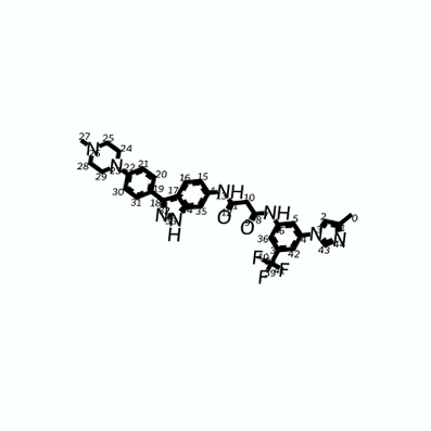 Cc1cn(-c2cc(NC(=O)CC(=O)Nc3ccc4c(-c5ccc(N6CCN(C)CC6)cc5)n[nH]c4c3)cc(C(F)(F)F)c2)cn1